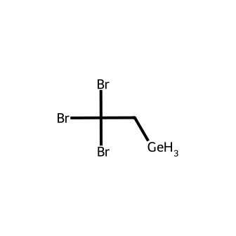 [GeH3][CH2]C(Br)(Br)Br